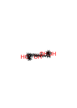 Cc1cc(CCCC(O)CCCCC(O)CCCc2cc(C)c(O)c(C(C)(C)C)c2)cc(C(C)(C)C)c1O